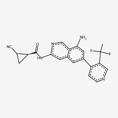 CC(F)(F)c1cnccc1-c1cc(N)c2cnc(NC(=O)[C@H]3CC3C#N)cc2c1